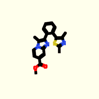 COC(=O)c1ccn2c(C)c(-c3ccccc3-c3sc(C)nc3C)nc2c1